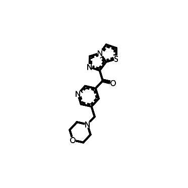 O=C(c1cncc(CN2CCOCC2)c1)c1ncn2ccsc12